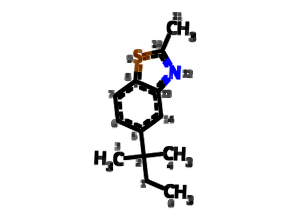 CCC(C)(C)c1ccc2sc(C)nc2c1